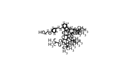 C=C(C)C(=O)OC[C@H]1O[C@@H](Oc2nn(CCOC(=O)C(C)(C)C)c3cccc(CCc4ccc(OCCO)cc4)c23)[C@H](OC(=O)C(C)(C)C)[C@@H](OC(=O)C(C)(C)C)[C@@H]1OC(=O)C(C)(C)C